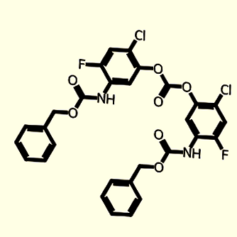 O=C(Nc1cc(OC(=O)Oc2cc(NC(=O)OCc3ccccc3)c(F)cc2Cl)c(Cl)cc1F)OCc1ccccc1